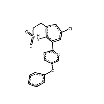 O=S1(=O)CCc2cc(Cl)cc(-c3ccc(Oc4ccccc4)cn3)c2N1